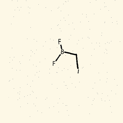 FB(F)CI